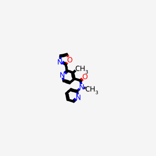 Cc1c(C(=O)N(C)c2ccccn2)ccnc1-c1ncco1